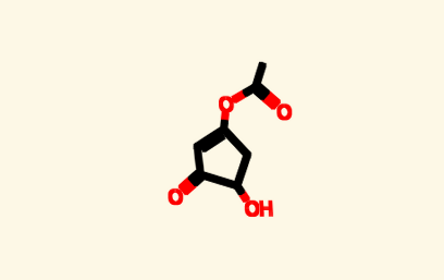 CC(=O)OC1=CC(=O)C(O)C1